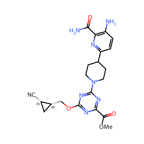 COC(=O)c1nc(OC[C@@H]2C[C@@H]2C#N)nc(N2CCC(c3ccc(N)c(C(N)=O)n3)CC2)n1